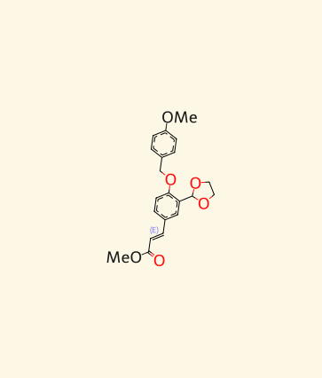 COC(=O)/C=C/c1ccc(OCc2ccc(OC)cc2)c(C2OCCO2)c1